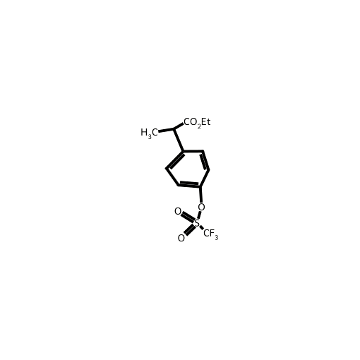 CCOC(=O)C(C)c1ccc(OS(=O)(=O)C(F)(F)F)cc1